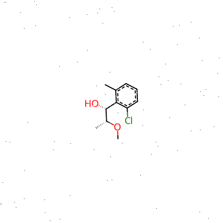 CO[C@H](C)[C@H](O)c1c(C)cccc1Cl